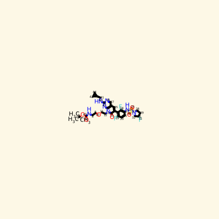 CC(C)(C)OC(=O)NCCOCCn1c(=O)c(-c2c(F)ccc(NS(=O)(=O)N3CCC(F)C3)c2F)cc2cnc(NCC3CC3)nc21